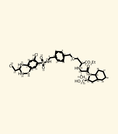 CCOC(=O)[C@H](COCc1ccc(CNS(=O)(=O)c2cc3c(cc2Cl)NC(CCl)NS3)cc1)N[C@@H](C)C(=O)N1C2CCCCC2C[C@H]1C(=O)O